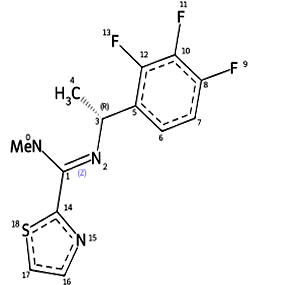 CN/C(=N\[C@H](C)c1ccc(F)c(F)c1F)c1nccs1